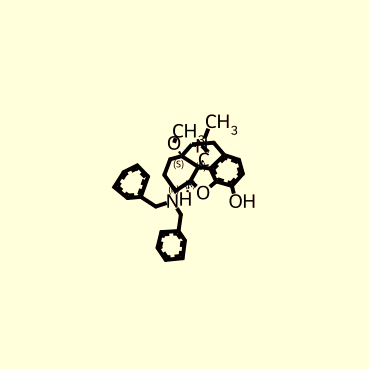 CO[C@@]12CC[C@@H](N(Cc3ccccc3)Cc3ccccc3)[C@@H]3Oc4c(O)ccc5c4[C@@]31CCN(C)C2C5